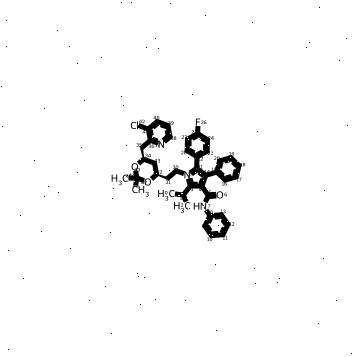 CC(C)c1c(C(=O)Nc2ccccc2)c(-c2ccccc2)c(-c2ccc(F)cc2)n1CC[C@@H]1C[C@H](Cc2ncccc2Cl)OC(C)(C)O1